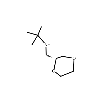 CC(C)(C)NC[C@@H]1COCCO1